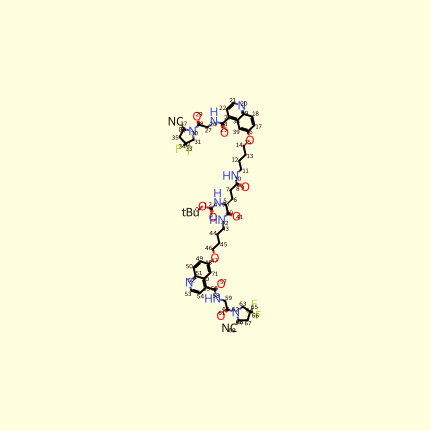 CC(C)(C)OC(=O)N[C@@H](CCC(=O)NCCCCOc1ccc2nccc(C(=O)NCC(=O)N3CC(F)(F)C[C@H]3C#N)c2c1)C(=O)NCCCCOc1ccc2nccc(C(=O)NCC(=O)N3CC(F)(F)C[C@H]3C#N)c2c1